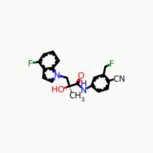 C[C@](O)(Cn1ccc2c(F)cccc21)C(=O)Nc1ccc(C#N)c(CF)c1